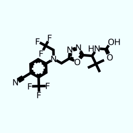 CC(C)(C)C(NC(=O)O)c1nnc(CN(CC(F)(F)F)c2ccc(C#N)c(C(F)(F)F)c2)o1